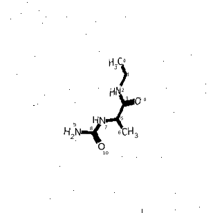 CCNC(=O)C(C)NC(N)=O